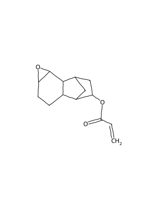 C=CC(=O)OC1CC2CC1C1CCC3OC3C21